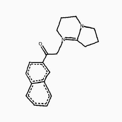 O=C(C[N+]1=C2CCCN2CCC1)c1ccc2ccccc2c1